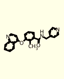 Cc1c(Oc2ccnc3ccccc23)cccc1C(=O)NCc1ccncc1